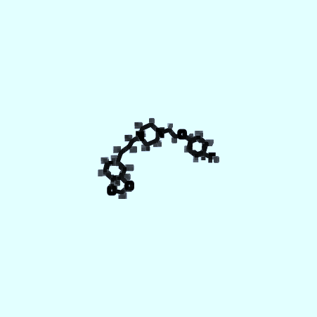 Fc1ccc(OCCN2CCN(CCCc3ccc4c(c3)OCO4)CC2)cc1